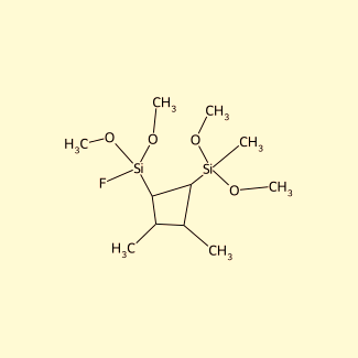 CO[Si](C)(OC)C1C(C)C(C)C1[Si](F)(OC)OC